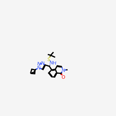 Cn1ccc2c([C@@H](NSC(C)(C)C)c3cn(C45CC(C4)C5)nn3)cccc2c1=O